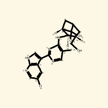 CC1(C)C2C[C@H](CO)[C@@H](Nc3nc(-c4c[nH]c5ncc(Cl)cc45)ncc3F)[C@@H]1C2